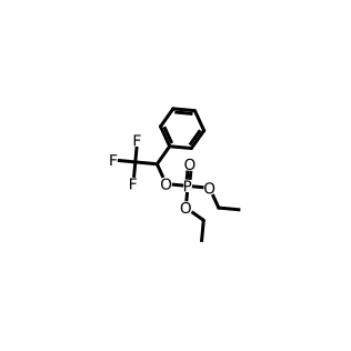 CCOP(=O)(OCC)OC(c1ccccc1)C(F)(F)F